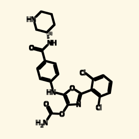 NC(=O)Oc1nc(-c2c(Cl)cccc2Cl)oc1Nc1ccc(C(=O)N[C@H]2CCCNC2)cc1